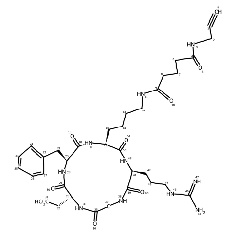 C#CCNC(=O)CCCC(=O)NCCCC[C@@H]1NC(=O)[C@H](Cc2ccccc2)NC(=O)[C@@H](CC(=O)O)NC(=O)CNC(=O)[C@H](CCCNC(=N)N)NC1=O